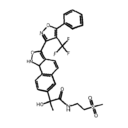 CC(O)(C(=O)NCCS(C)(=O)=O)c1ccc2c(c1)C=CC1=C(c3noc(-c4ccccc4)c3C(F)(F)F)ONC12